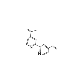 C=Cc1ccnc(-c2cc(C(=C)C)ccn2)c1